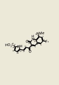 CNc1cc(F)cc2cc(C(=O)/C=C/c3ccc(C(=O)O)[nH]3)c(=O)[nH]c12